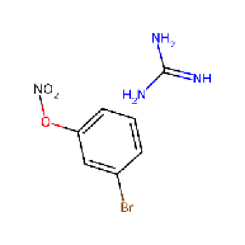 N=C(N)N.O=[N+]([O-])Oc1cccc(Br)c1